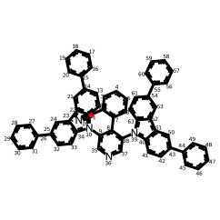 N#Cc1ccccc1-c1c(-n2c3ccc(-c4ccccc4)cc3c3cc(-c4ccccc4)ccc32)cncc1-n1c2ccc(-c3ccccc3)cc2c2cc(-c3ccccc3)ccc21